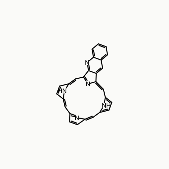 C1=Cc2cc3ccc(cc4nc(cc5ccc(cc1n2)[nH]5)-c1cc2ccccc2nc1-4)[nH]3